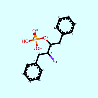 O=P(O)(O)OC(Cc1ccccc1)C(I)Cc1ccccc1